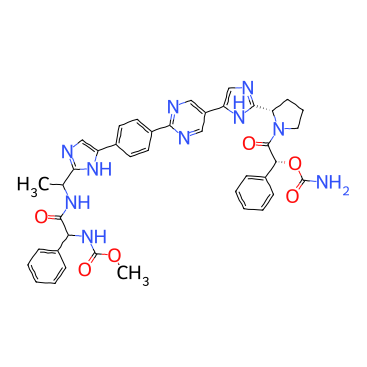 COC(=O)NC(C(=O)NC(C)c1ncc(-c2ccc(-c3ncc(-c4cnc([C@@H]5CCCN5C(=O)[C@H](OC(N)=O)c5ccccc5)[nH]4)cn3)cc2)[nH]1)c1ccccc1